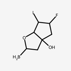 BC1CC2(O)CC(F)C(I)C2O1